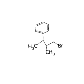 CC(CBr)C(C)c1ccccc1